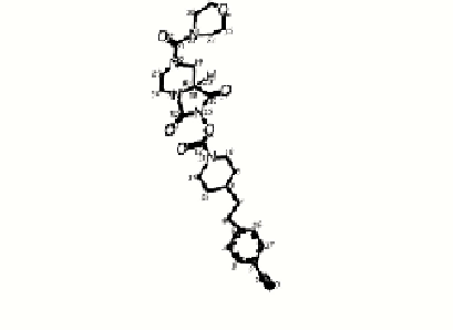 C#Cc1ccc(CCC2CCN(C(=O)ON3C(=O)[C@H]4CN(C(=O)N5CCOCC5)CCN4C3=O)CC2)cc1